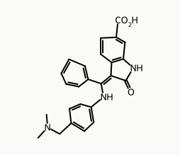 CN(C)Cc1ccc(N/C(=C2\C(=O)Nc3cc(C(=O)O)ccc32)c2ccccc2)cc1